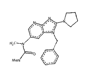 CNC(=O)N(C)c1cnc2nc(N3CCCC3)n(Cc3ccccc3)c2c1